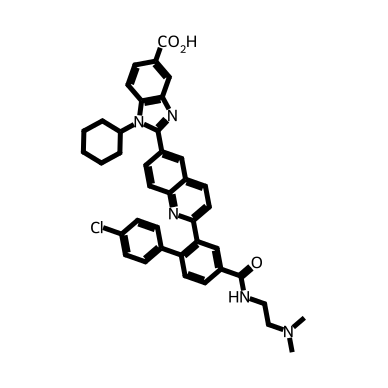 CN(C)CCNC(=O)c1ccc(-c2ccc(Cl)cc2)c(-c2ccc3cc(-c4nc5cc(C(=O)O)ccc5n4C4CCCCC4)ccc3n2)c1